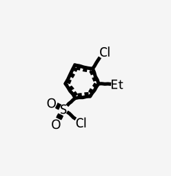 CCc1cc(S(=O)(=O)Cl)ccc1Cl